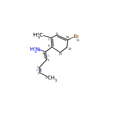 C/C=C\C=C(/N)C1=C(C)C=C(Br)CC1